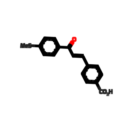 CSc1ccc(C(=O)C=Cc2ccc(C(=O)O)cc2)cc1